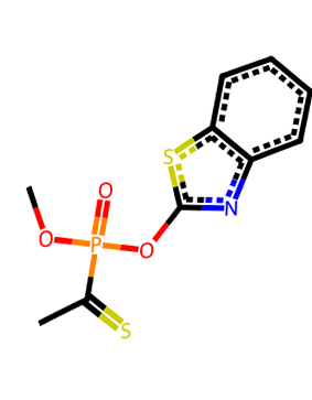 COP(=O)(Oc1nc2ccccc2s1)C(C)=S